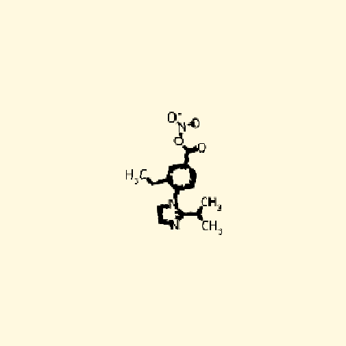 CCc1cc(C(=O)O[N+](=O)[O-])ccc1-n1ccnc1C(C)C